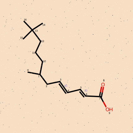 CC(C/C=C/C=C/C(=O)O)CCCC(C)(C)C